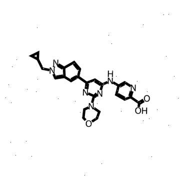 O=C(O)c1ccc(Nc2cc(-c3ccc4nn(CC5CC5)cc4c3)nc(N3CCOCC3)n2)cn1